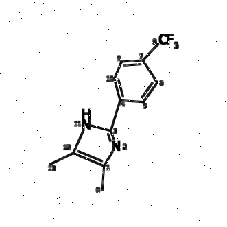 Cc1nc(-c2ccc(C(F)(F)F)cc2)[nH]c1C